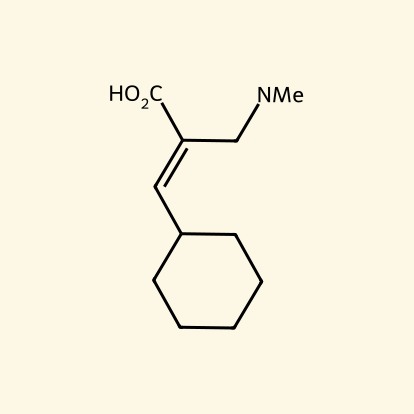 CNCC(=CC1CCCCC1)C(=O)O